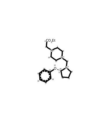 CCOC(=O)CN1CCN(CN2CCC[C@@H]2Oc2ccccc2)CC1